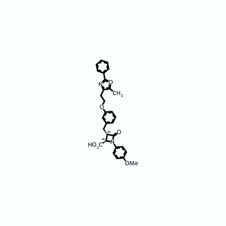 COc1ccc(N2C(=O)[C@H](Cc3cccc(OCCc4nc(-c5ccccc5)oc4C)c3)[C@@H]2C(=O)O)cc1